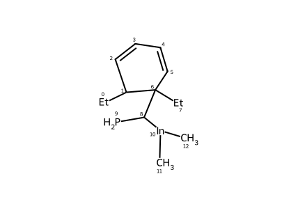 CCC1C=CC=CC1(CC)[CH](P)[In]([CH3])[CH3]